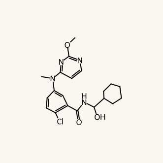 COc1nccc(N(C)c2ccc(Cl)c(C(=O)NC(O)C3CCCCC3)c2)n1